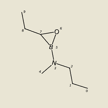 CCCN(C)B1OC1CC